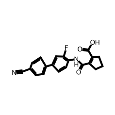 N#Cc1ccc(-c2ccc(NC(=O)C3=C(C(=O)O)CCC3)c(F)c2)cc1